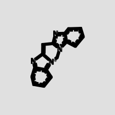 C1=C2N=c3ccccc3=[N+]2Cn2c1nc1ccccc12